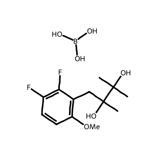 COc1ccc(F)c(F)c1CC(C)(O)C(C)(C)O.OB(O)O